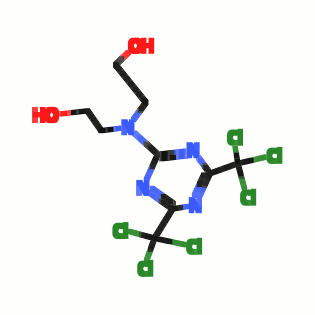 OCCN(CCO)c1nc(C(Cl)(Cl)Cl)nc(C(Cl)(Cl)Cl)n1